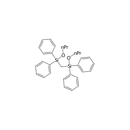 CCCO[Si](C[Si](OCCC)(c1ccccc1)c1ccccc1)(c1ccccc1)c1ccccc1